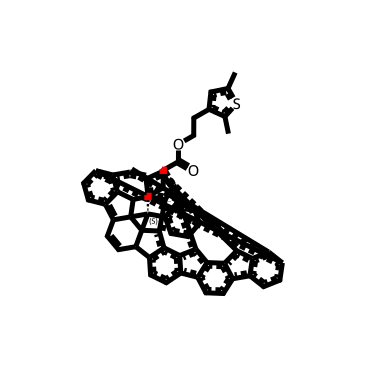 Cc1cc(CCOC(=O)CCC[C@@]2(c3ccccc3)C34C5=c6ccc7c8ccc9c%10ccc%11c%12ccc%13c%14c(c%15c%16c%17c(c7c6C%163)c8c9c3c%10c%11c(c%14%12)c%15c%173)C42C%13C=C5)c(C)s1